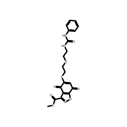 COC(=O)c1noc2c1C(=O)C(SCCOCCNC(=O)Nc1ccccc1)=CC2=O